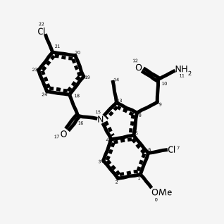 COc1ccc2c(c1Cl)c(CC(N)=O)c(C)n2C(=O)c1ccc(Cl)cc1